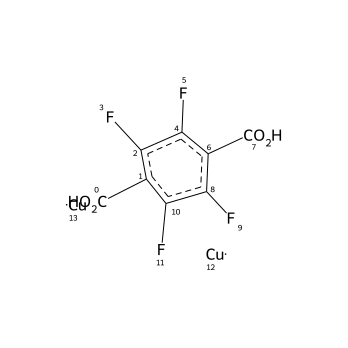 O=C(O)c1c(F)c(F)c(C(=O)O)c(F)c1F.[Cu].[Cu]